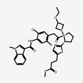 CCOC1CN([N+]2(C(=O)Cc3cc(Cl)c(NC(=O)c4cn(C)c5ccccc45)cc3F)CCC[C@H]2c2ncc(CCC(=O)OC)s2)C1